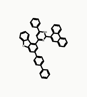 C1=C(c2ccccc2)NC(c2cc3ccccc3c3ccccc23)N=C1c1cc(-c2ccc(-c3ccccc3)cc2)cc2oc3ccccc3c12